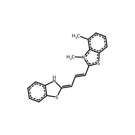 Cc1cccc2sc(C=CC=C3Nc4ccccc4S3)[n+](C)c12